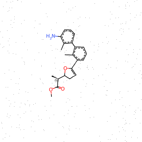 COC(=O)[C@@H](C)C1CC=C(c2cccc(-c3cccc(N)c3C)c2C)O1